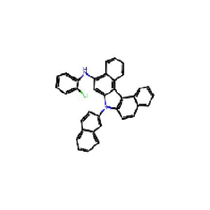 Clc1ccccc1Nc1cc2c(c3ccccc13)c1c3ccccc3ccc1n2-c1ccc2ccccc2c1